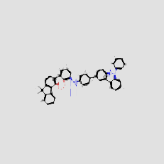 CC1(C)c2ccccc2-c2c1ccc1c2oc2c(Nc3ccc(-c4ccc5c(c4)c4ccccc4n5-c4ccccc4)cc3)cccc21